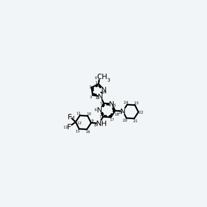 Cc1ccn(-c2nc(NC3CCC(F)(F)CC3)cc(N3CCCCC3)n2)n1